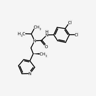 CC(C)N(C[C@@H](C)c1cccnc1)C(=O)Nc1ccc(Cl)c(Cl)c1